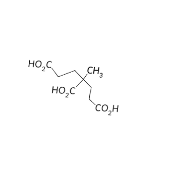 CC(CCC(=O)O)(CCC(=O)O)C(=O)O